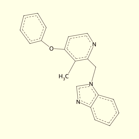 Cc1c(Oc2ccccc2)ccnc1Cn1cnc2ccccc21